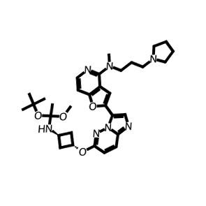 COC(C)(N[C@H]1C[C@H](Oc2ccc3ncc(-c4cc5c(N(C)CCCN6CCCC6)nccc5o4)n3n2)C1)OC(C)(C)C